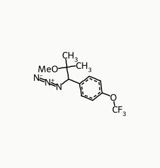 COC(C)(C)C(N=[N+]=[N-])c1ccc(OC(F)(F)F)cc1